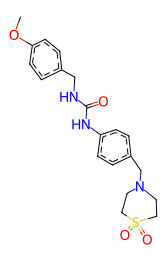 COc1ccc(CNC(=O)Nc2ccc(CN3CCS(=O)(=O)CC3)cc2)cc1